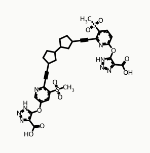 CS(=O)(=O)c1cc(Oc2[nH]nnc2C(=O)O)cnc1C#CC1CCC(C2CCC(C#Cc3nc(Oc4[nH]nnc4C(=O)O)ccc3S(C)(=O)=O)C2)C1